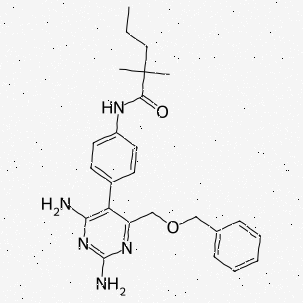 CCCC(C)(C)C(=O)Nc1ccc(-c2c(N)nc(N)nc2COCc2ccccc2)cc1